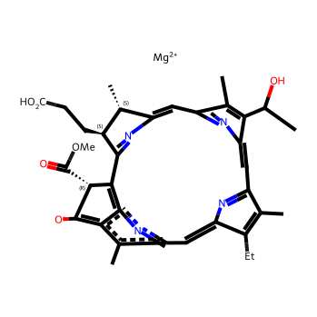 CCC1=C(C)C2=NC1=Cc1[n-]c3c(c1C)=C([O-])[C@H](C(=O)OC)C=3C1=NC(=CC3=NC(=C2)C(C(C)O)=C3C)[C@@H](C)[C@@H]1CCC(=O)O.[Mg+2]